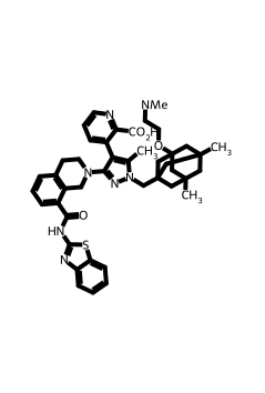 CNCCOC12CC3(C)CC(C)(CC(Cn4nc(N5CCc6cccc(C(=O)Nc7nc8ccccc8s7)c6C5)c(-c5cccnc5C(=O)O)c4C)(C3)C1)C2